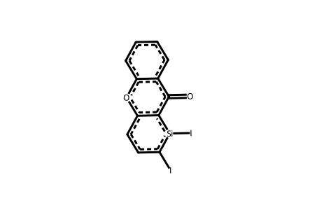 O=c1c2ccccc2oc2ccc(I)[si](I)c12